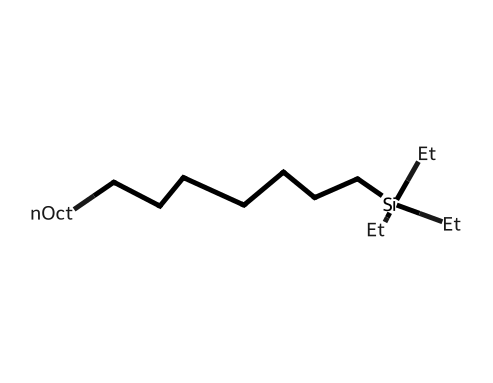 [CH2]CCCCCCCCCCCCCC[Si](CC)(CC)CC